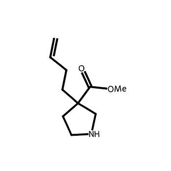 C=CCCC1(C(=O)OC)CCNC1